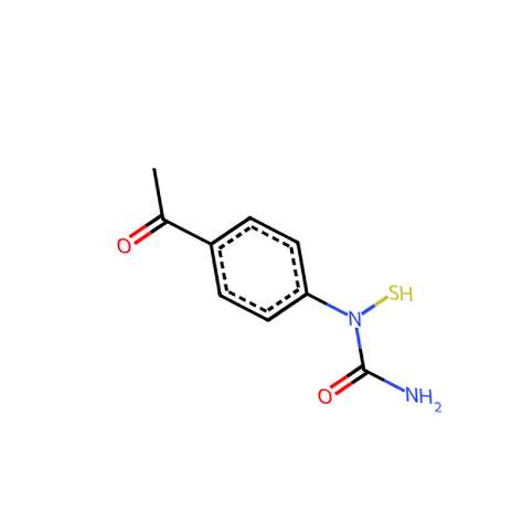 CC(=O)c1ccc(N(S)C(N)=O)cc1